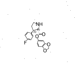 O=C(Oc1ccc2c(c1)OCO2)[C@H]1CNCC[C@@H]1c1ccc(F)cc1